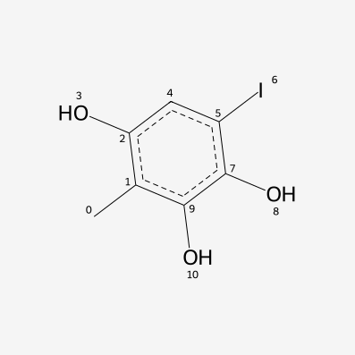 Cc1c(O)cc(I)c(O)c1O